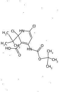 CC(C)(C)OC(=O)NC1=C(C(=O)O)C(Cl)(C(C)(C)C)NC(Cl)=C1